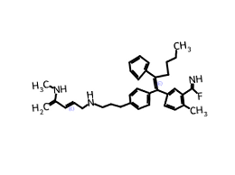 C=C(/C=C/CNCCCc1ccc(/C(=C(/CCCC)c2ccccc2)c2ccc(C)c(C(=N)F)c2)cc1)NC